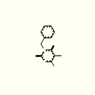 Cc1c(Cl)[nH]c(=O)n(Cc2ccccc2)c1=O